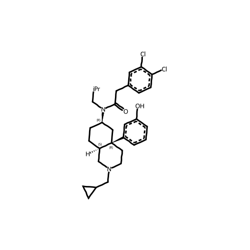 CC(C)CN(C(=O)Cc1ccc(Cl)c(Cl)c1)[C@@H]1CC[C@@H]2CN(CC3CC3)CC[C@@]2(c2cccc(O)c2)C1